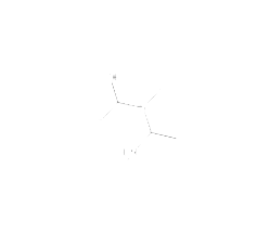 CCC(O)N(C)C(C)N